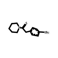 CC(C)(C)c1ccc(CC(=S)N2CCCCC2)cc1